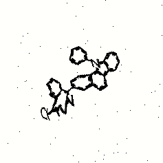 Clc1nnc(-c2ccc3c(ccc4c5ccccc5n(-c5ccccc5)c34)c2)c2ccccc12